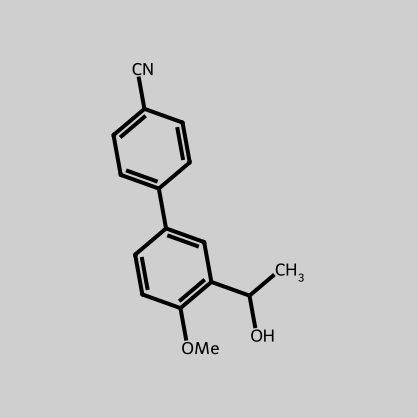 COc1ccc(-c2ccc(C#N)cc2)cc1C(C)O